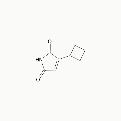 O=C1C=C(C2CCC2)C(=O)N1